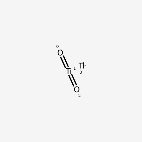 [O]=[Ti]=[O].[Tl]